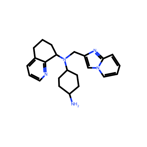 NC1CCC(N(Cc2cn3ccccc3n2)C2CCCc3cccnc32)CC1